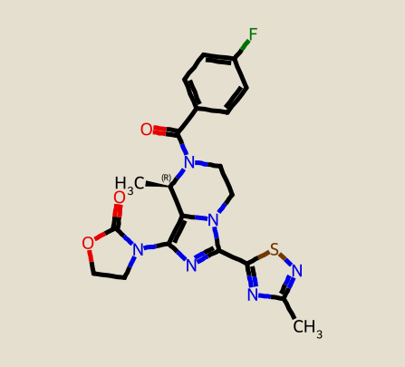 Cc1nsc(-c2nc(N3CCOC3=O)c3n2CCN(C(=O)c2ccc(F)cc2)[C@@H]3C)n1